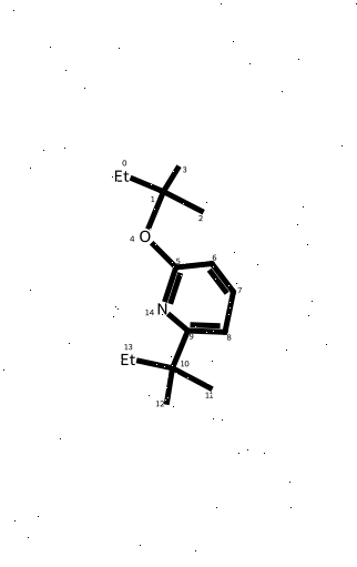 CCC(C)(C)Oc1cccc(C(C)(C)CC)n1